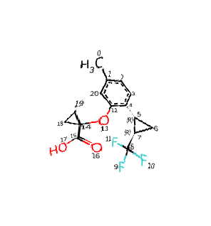 Cc1ccc([C@@H]2C[C@H]2C(F)(F)F)c(OC2(C(=O)O)CC2)c1